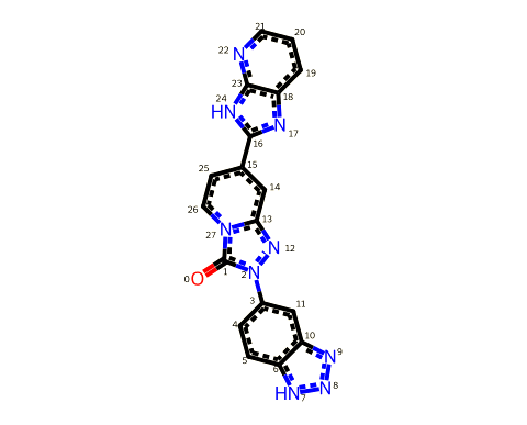 O=c1n(-c2ccc3[nH]nnc3c2)nc2cc(-c3nc4cccnc4[nH]3)ccn12